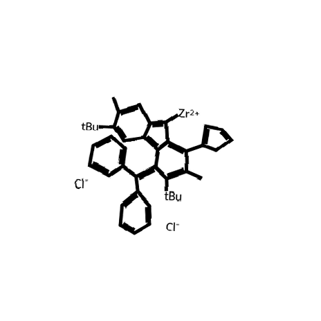 Cc1cc2c(cc1C(C)(C)C)=c1c(c(C3=CC=CC3)c(C)c(C(C)(C)C)c1=C(c1ccccc1)c1ccccc1)[C]=2[Zr+2].[Cl-].[Cl-]